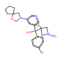 CC(C)c1ccc([C@](O)(c2cncc(N3COC4(CCCC4)C3)c2)C2(C)CN(C)C2)cc1